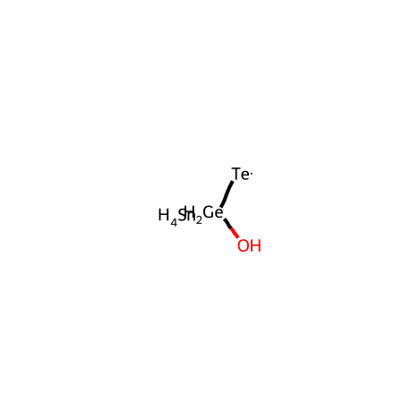 [OH][GeH2][Te].[SnH4]